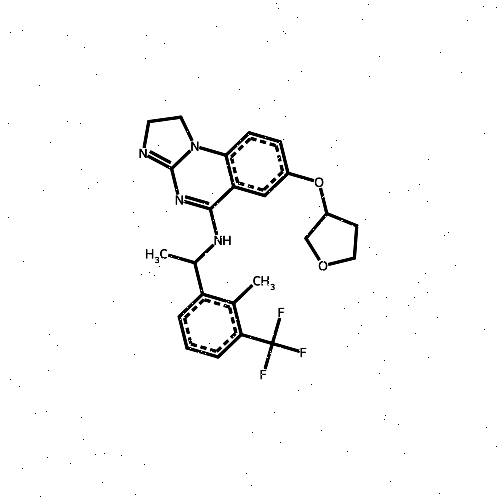 Cc1c(C(C)NC2=NC3=NCCN3c3ccc(OC4CCOC4)cc32)cccc1C(F)(F)F